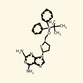 CC(C)(C)[Si](OC[C@H]1CC[C@@H](n2cnc3c(N)nc(N)nc32)S1)(c1ccccc1)c1ccccc1